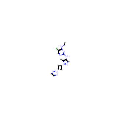 CCNc1nc(Nc2cnn([C@H]3C[C@H](n4nccn4)C3)c2C)ncc1Cl